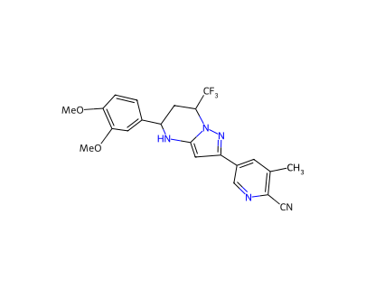 COc1ccc(C2CC(C(F)(F)F)n3nc(-c4cnc(C#N)c(C)c4)cc3N2)cc1OC